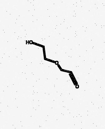 O=CCOCCO